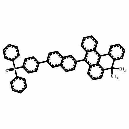 CC1(C)c2ccccc2-c2c3ccccc3c(-c3ccc4cc(-c5ccc(P(=O)(c6ccccc6)c6ccccc6)cc5)ccc4c3)c3cccc1c23